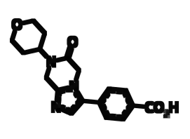 O=C(O)c1ccc(-c2cnc3n2CC(=O)N(C2CCOCC2)C3)cc1